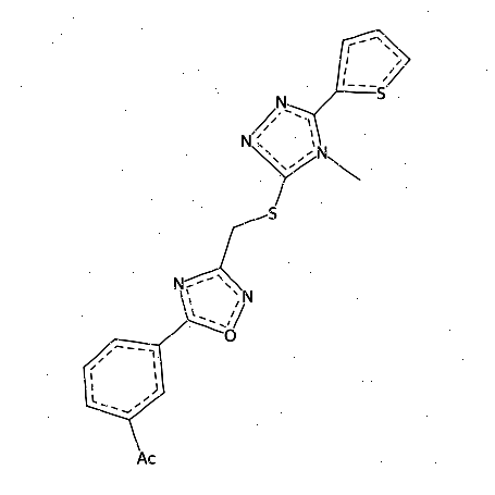 CC(=O)c1cccc(-c2nc(CSc3nnc(-c4cccs4)n3C)no2)c1